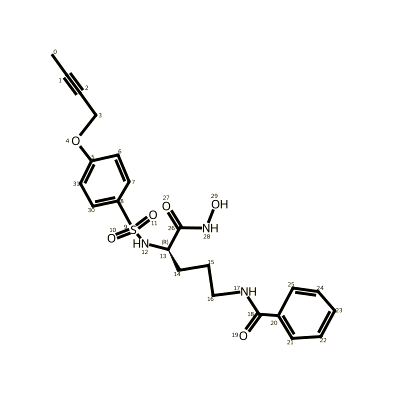 CC#CCOc1ccc(S(=O)(=O)N[C@H](CCCNC(=O)c2ccccc2)C(=O)NO)cc1